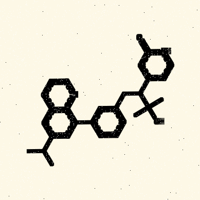 CC(C)c1cc(-c2cccc(CC(c3cc[nH]c(=O)c3)C(C)(C)O)c2)c2ncccc2c1